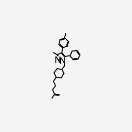 C=C(C)CCCC1CCC(Cn2nc(C)c(-c3ccc(C)cc3)c2C2C=CC=CC2)CC1